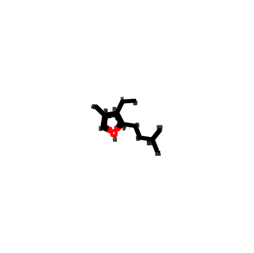 CCc1c(C)coc1CCC(C)C